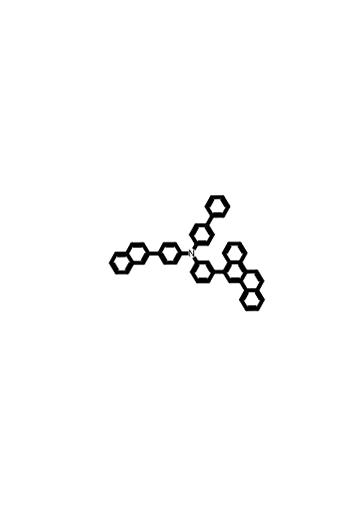 c1ccc(-c2ccc(N(c3ccc(-c4ccc5ccccc5c4)cc3)c3cccc(-c4cc5c6ccccc6ccc5c5ccccc45)c3)cc2)cc1